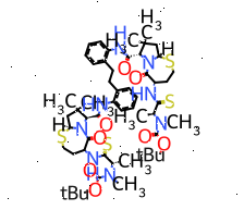 C[C@@H](C(=S)N[C@H]1CCS[C@H]2CC(C)(C)[C@@H](C(=O)Nc3ccccc3CCc3ccccc3NC(=O)[C@H]3N4C(=O)[C@@H](NC(=S)[C@H](C)N(C)C(=O)OC(C)(C)C)CCS[C@H]4CC3(C)C)N2C1=O)N(C)C(=O)OC(C)(C)C